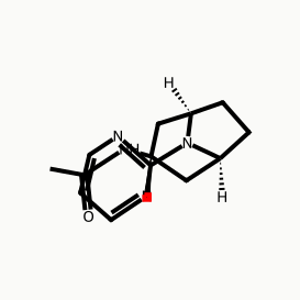 CC(=O)N[C@]1(C)C[C@H]2CC[C@@H](C1)N2c1ncccn1